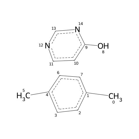 Cc1ccc(C)cc1.Oc1ccncn1